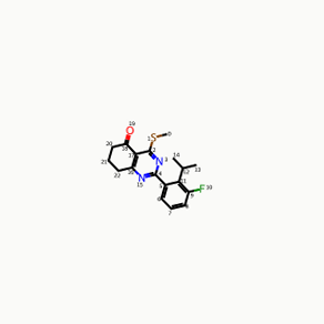 CSc1nc(-c2cccc(F)c2C(C)C)nc2c1C(=O)CCC2